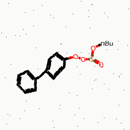 CCCCOS(=O)OOc1ccc(-c2ccccc2)cc1